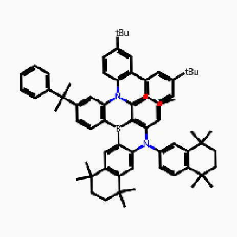 Cc1cc2c3c(c1)N(c1ccc(C(C)(C)C)cc1-c1cccc(C(C)(C)C)c1)c1cc(C(C)(C)c4ccccc4)ccc1B3c1cc3c(cc1N2c1ccc2c(c1)C(C)(C)CCC2(C)C)C(C)(C)CCC3(C)C